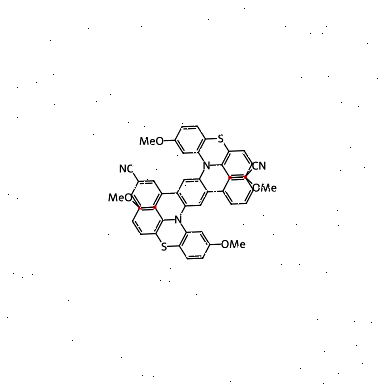 COc1ccc2c(c1)N(c1cc(-c3cccc(C#N)c3)c(N3c4cc(OC)ccc4Sc4ccc(OC)cc43)cc1-c1cccc(C#N)c1)c1cc(OC)ccc1S2